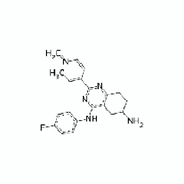 C=N/C=C\C(=C/C)c1nc2c(c(Nc3ccc(F)cc3)n1)CC(N)CC2